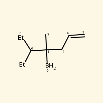 BC(C)(CC=C)C(CC)CC